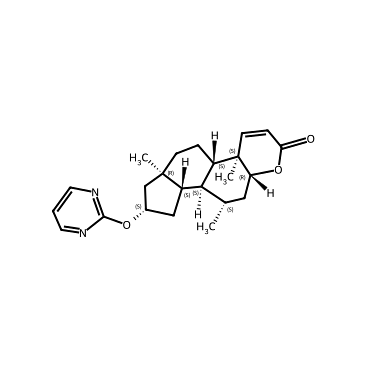 C[C@H]1C[C@H]2OC(=O)C=C[C@]2(C)[C@H]2CC[C@]3(C)C[C@@H](Oc4ncccn4)C[C@H]3[C@H]12